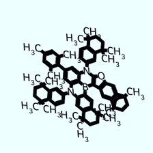 Cc1cc(C)c(-c2cc3c4c(c2)N(c2ccc5c(c2)C(C)(C)CCC5(C)C)c2oc5cc6c(cc5c2B4c2cc4c(cc2N3c2ccc3c(c2)C(C)(C)CCC3(C)C)C(C)(C)CCC4(C)C)C2(C)CCC6(C)CC2)c(C)c1